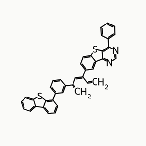 C=C/C(=C\C(=C)c1cccc(-c2cccc3c2sc2ccccc23)c1)c1ccc2sc3c(-c4ccccc4)ncnc3c2c1